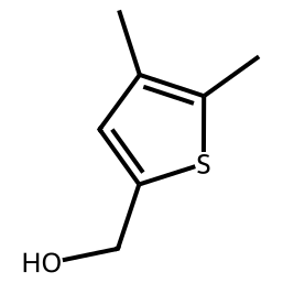 Cc1cc(CO)sc1C